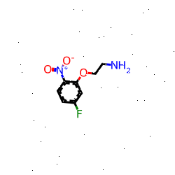 NCCOc1cc(F)ccc1[N+](=O)[O-]